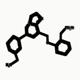 CCOC(=O)Cc1ccccc1OCc1cc(-c2cccc(CN)c2)cn2ccnc12